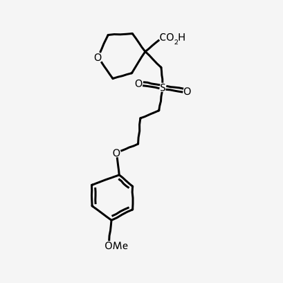 COc1ccc(OCCCS(=O)(=O)CC2(C(=O)O)CCOCC2)cc1